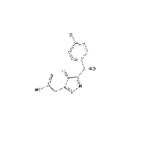 O=C(O)CC1=NN=C(C(=O)c2ccc(Cl)cc2)C1=O